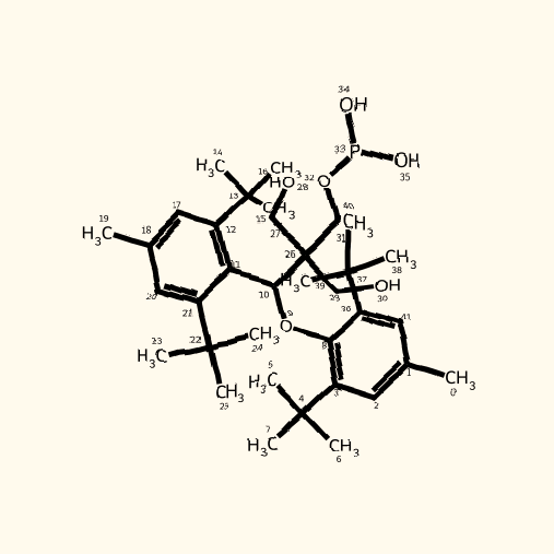 Cc1cc(C(C)(C)C)c(OC(c2c(C(C)(C)C)cc(C)cc2C(C)(C)C)C(CO)(CO)COP(O)O)c(C(C)(C)C)c1